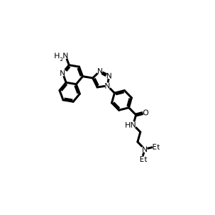 CCN(CC)CCNC(=O)c1ccc(-n2cc(-c3cc(N)nc4ccccc34)nn2)cc1